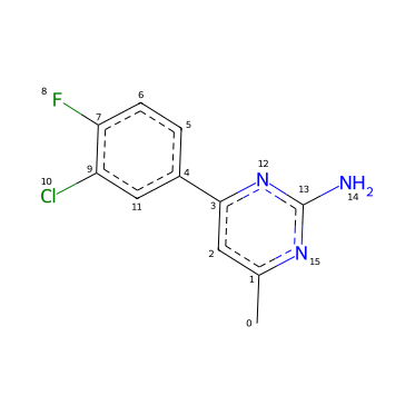 Cc1cc(-c2ccc(F)c(Cl)c2)nc(N)n1